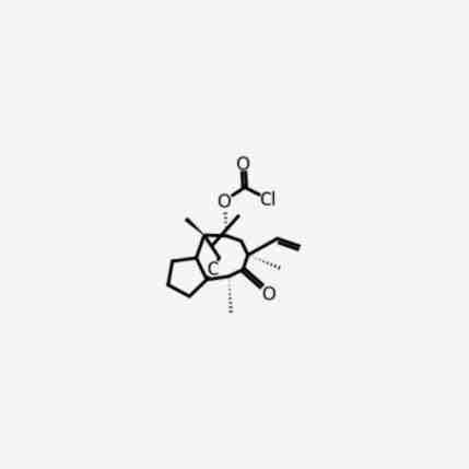 C=C[C@]1(C)C[C@@H](OC(=O)Cl)[C@]2(C)C(C)CC[C@]3(CCCC32)[C@@H](C)C1=O